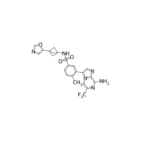 Cc1ccc(S(=O)(=O)NC23CC(c4cnco4)(C2)C3)cc1-c1cnc2c(N)nc(C(F)(F)F)cn12